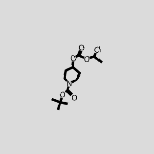 CC(Cl)OC(=O)OC1CCN(C(=O)OC(C)(C)C)CC1